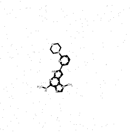 CNc1nc2[nH]c(-c3cccc(N4CCOCC4)n3)cc2c2c1ncn2C